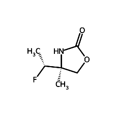 C[C@@H](F)[C@]1(C)COC(=O)N1